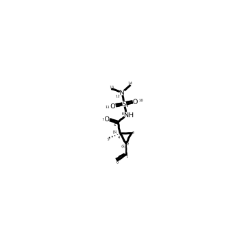 C=C[C@@H]1C[C@]1(C)C(=O)NS(=O)(=O)N(C)C